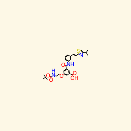 CC(C)c1csc(C=Cc2cccc(NC(=O)c3cc(OCCNC(=O)OC(C)(C)C)cc(C(=O)O)c3)c2)n1